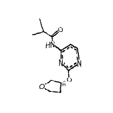 CC(C)C(=O)Nc1ccnc(O[C@@H]2CCOC2)n1